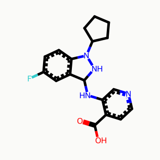 O=C(O)c1ccncc1NC1NN(C2CCCC2)c2ccc(F)cc21